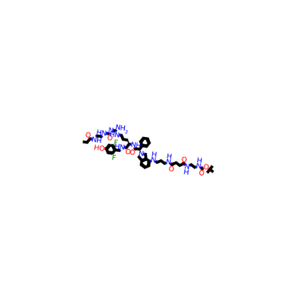 CCC(=O)NCCNC(=O)/N=C(/N)NCCC[C@@H](NC(=O)[C@H](c1ccccc1)N1Cc2cccc(NCCCNC(=O)CCC(=O)NCCNC(=O)OC(C)(C)C)c2C1)C(=O)NCc1c(F)cc(O)cc1F